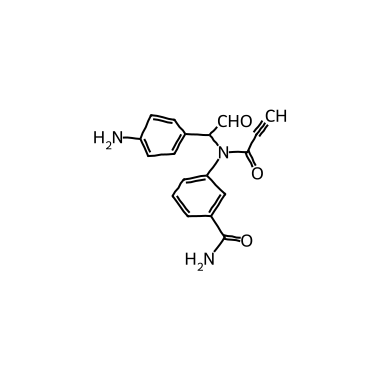 C#CC(=O)N(c1cccc(C(N)=O)c1)C(C=O)c1ccc(N)cc1